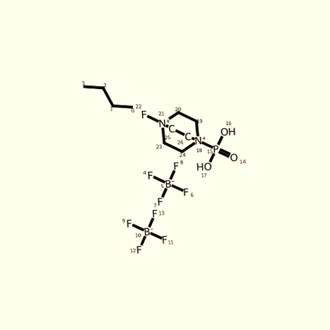 CCCC.F[B-](F)(F)F.F[B-](F)(F)F.O=P(O)(O)[N+]12CC[N+](F)(CC1)CC2